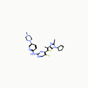 Cc1c(-c2nc(Nc3ccc(N4CCN(C)CC4)cn3)ncc2F)sc2c1nc(C)n2C1CCCC1